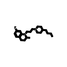 CCCCC1CCN(CCCN2c3cc(F)ccc3CCC2C)CC1